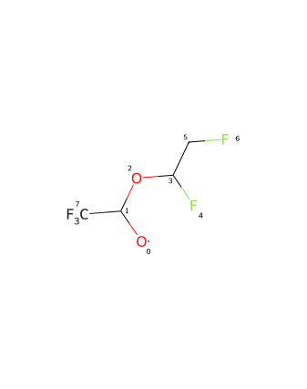 [O]C(OC(F)CF)C(F)(F)F